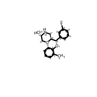 Cc1ccccc1O[C@@H](c1cccc(F)c1)[C@@H]1CNCCO1.Cl